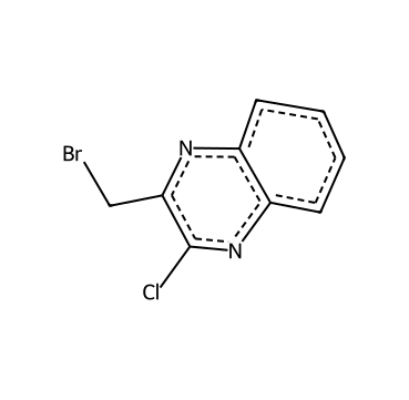 Clc1nc2ccccc2nc1CBr